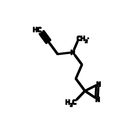 C#CCN([CH2])CCC1(C)N=N1